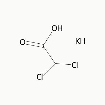 O=C(O)C(Cl)Cl.[KH]